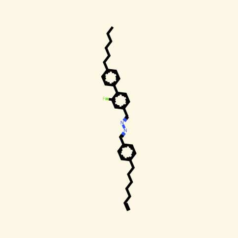 C=CCCCCCc1ccc(C=NN=Cc2ccc(-c3ccc(CCCCCC)cc3)c(F)c2)cc1